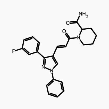 NC(=O)C1CCCCN1C(=O)C=Cc1cn(-c2ccccc2)nc1-c1cccc(F)c1